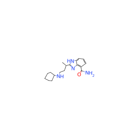 CC(CCNC1CCCCC1)c1nc2c(C(N)=O)cccc2[nH]1